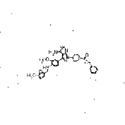 COc1cc(-c2nn(C3CCN(C(=O)OCc4ccccc4)CC3)c3ncnc(N)c23)ccc1NCc1ccc(C)o1